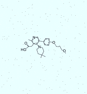 COCCCOc1ccc(-c2cnc(C)c(CC(=O)O)c2N2CCC(C)(C)CC2)cc1